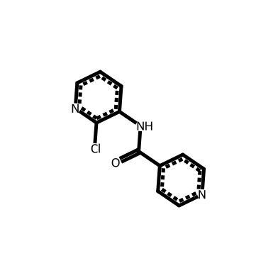 O=C(Nc1cccnc1Cl)c1ccncc1